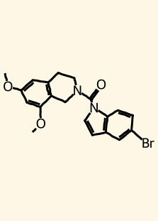 COc1cc2c(c(OC)c1)CN(C(=O)n1ccc3cc(Br)ccc31)CC2